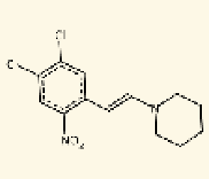 O=[N+]([O-])c1cc(Cl)c(Cl)cc1C=CN1CCCCC1